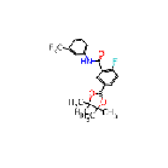 CC1(C)OB(c2ccc(F)c(C(=O)Nc3cccc(C(F)(F)F)c3)c2)OC1(C)C